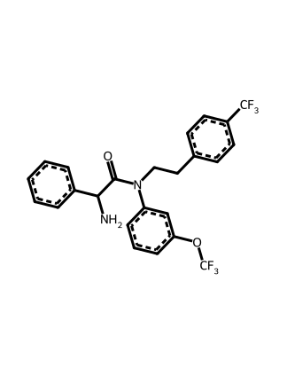 NC(C(=O)N(CCc1ccc(C(F)(F)F)cc1)c1cccc(OC(F)(F)F)c1)c1ccccc1